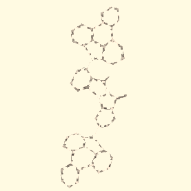 O=c1c2ccc(-n3c4cccc5c6ccccc6c6cccc3c6c54)cc2n2c3cccc(-n4c5cccc6c7ccccc7c7cccc4c7c65)c3c(=O)n12